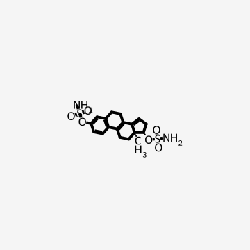 C[C@]12CCC3=C(CCc4cc(OS(N)(=O)=O)ccc43)C1=CC[C@@H]2OS(N)(=O)=O